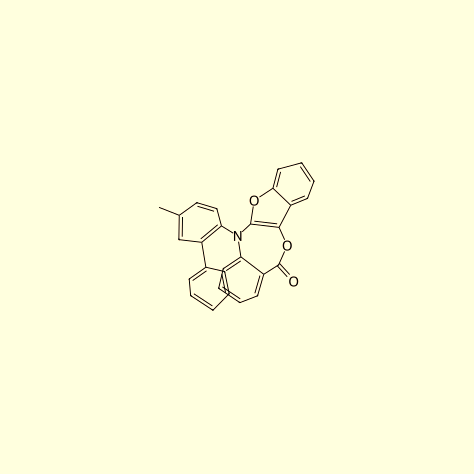 Cc1ccc(N2c3ccccc3C(=O)Oc3c2oc2ccccc32)c(-c2ccccc2)c1